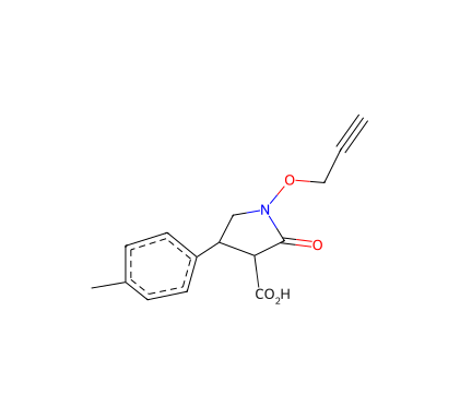 C#CCON1CC(c2ccc(C)cc2)C(C(=O)O)C1=O